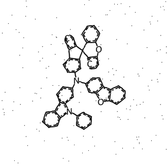 c1ccc(-n2c3ccccc3c3ccc(N(c4ccc5c(c4)C4(c6ccccc6Oc6ccccc64)c4ccccc4-5)c4ccc5c(c4)oc4ccccc45)cc32)cc1